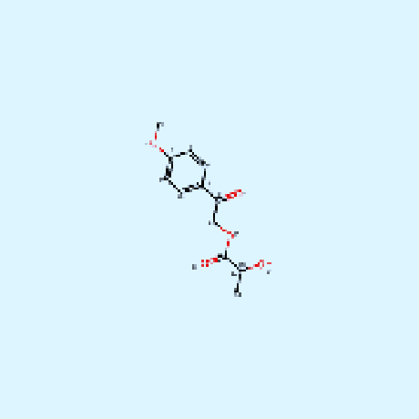 COc1ccc(C(=O)COC(=O)[C@H](C)O)cc1